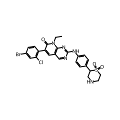 CCn1c(=O)c(-c2ccc(Br)cc2Cl)cc2cnc(Nc3ccc(C4CNCCS4(=O)=O)cc3)nc21